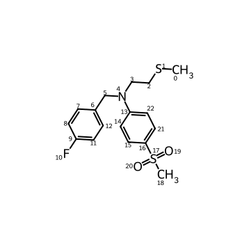 CSCCN(Cc1ccc(F)cc1)c1ccc(S(C)(=O)=O)cc1